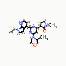 CC1COCCN1c1cc(C2CCN(C)C2=O)nc(-c2ccnc3c2ccn3SI)n1